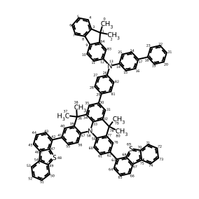 CC1(C)c2ccccc2-c2ccc(N(c3ccc(-c4ccccc4)cc3)c3ccc(-c4cc5c6c(c4)C(C)(C)c4cc(-c7cccc8c7sc7ccccc78)ccc4N6c4ccc(-c6cccc7c6sc6ccccc67)cc4C5(C)C)cc3)cc21